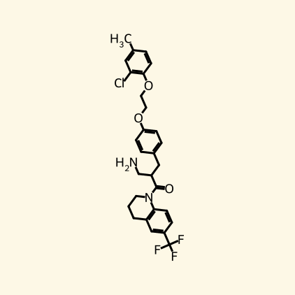 Cc1ccc(OCCOc2ccc(CC(CN)C(=O)N3CCCc4cc(C(F)(F)F)ccc43)cc2)c(Cl)c1